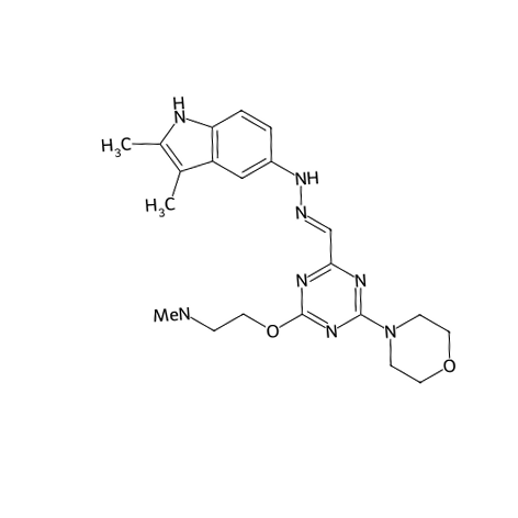 CNCCOc1nc(C=NNc2ccc3[nH]c(C)c(C)c3c2)nc(N2CCOCC2)n1